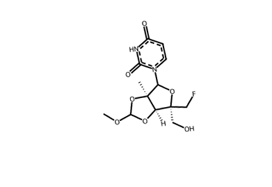 COC1O[C@@H]2[C@](CO)(CF)OC(n3ccc(=O)[nH]c3=O)[C@]2(C)O1